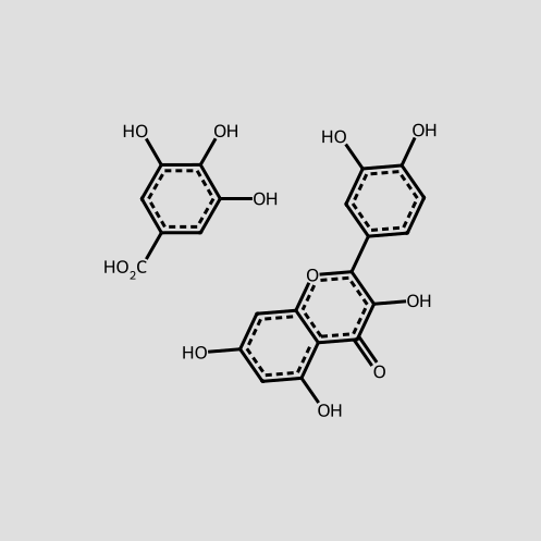 O=C(O)c1cc(O)c(O)c(O)c1.O=c1c(O)c(-c2ccc(O)c(O)c2)oc2cc(O)cc(O)c12